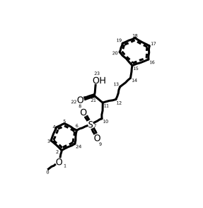 COc1cccc(S(=O)(=O)CC(CCCc2ccccc2)C(=O)O)c1